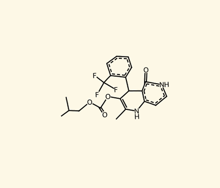 CC1=C(OC(=O)OCC(C)C)C(c2ccccc2C(F)(F)F)c2c(cc[nH]c2=O)N1